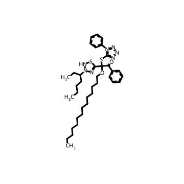 CCCCCCCCCCCCCCOC(Sc1nnnn1-c1ccccc1)(C(=O)c1ccccc1)C1=NN(C(CC)CCCC)NS1